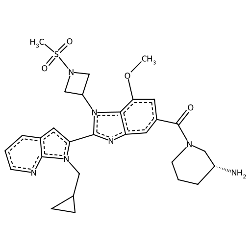 COc1cc(C(=O)N2CCC[C@@H](N)C2)cc2nc(-c3cc4cccnc4n3CC3CC3)n(C3CN(S(C)(=O)=O)C3)c12